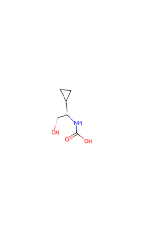 O=C(O)NC(CO)C1CC1